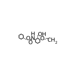 C=CCOc1cccc(NC(=O)OCc2ccccc2)c1CO